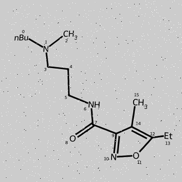 CCCCN(C)CCCNC(=O)c1noc(CC)c1C